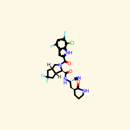 N#C[C@H](C[C@@H]1CCCNC1=O)NC(=O)[C@H]1[C@@H]2CC(F)(F)C[C@@H]2CN1C(=O)c1cc2c(F)cc(F)c(Cl)c2[nH]1